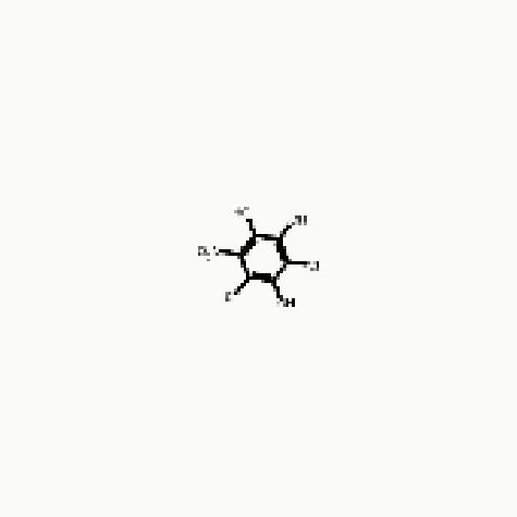 O=[N+]([O-])c1c(O)c(O)c(Cl)c(O)c1Cl